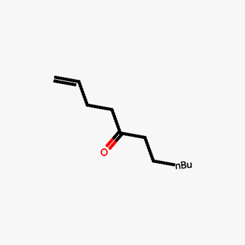 C=CCCC(=O)CCCCCC